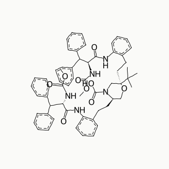 COC(=O)N[C@H](C(=O)Nc1ccccc1CC[C@@H]1CO[C@](CCc2ccccc2NC(=O)[C@@H](NC(=O)OC)C(c2ccccc2)c2ccccc2)(C(C)(C)C)CN1C(=O)O)C(c1ccccc1)c1ccccc1